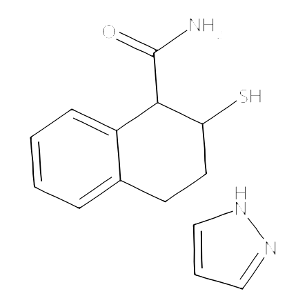 NC(=O)C1c2ccccc2CCC1S.c1cn[nH]c1